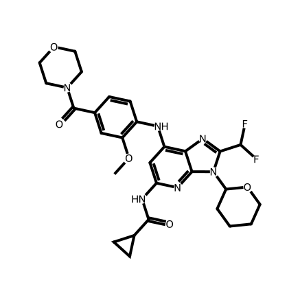 COc1cc(C(=O)N2CCOCC2)ccc1Nc1cc(NC(=O)C2CC2)nc2c1nc(C(F)F)n2C1CCCCO1